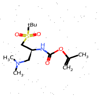 C=C(C)OC(=O)N[C@@H](CN(C)C)CS(=O)(=O)C(C)(C)C